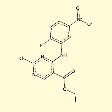 CCOC(=O)c1cnc(Cl)nc1Nc1cc([N+](=O)[O-])ccc1F